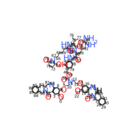 COc1cc2c(cc1OCCN(CCOc1cc3c(cc1OC)C(=O)N1Cc4ccccc4C[C@H]1C=N3)C(=O)OCc1ccc(NC(=O)[C@H](CCCNC(N)=O)NC(=O)[C@@H](NC(=O)CCCCCN3C(=O)C=CC3O)C(C)C)cc1)N=CC1Cc3ccccc3CN1C2=O